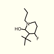 CCCN1CCC(F)C(C(C)(C)C)C1O